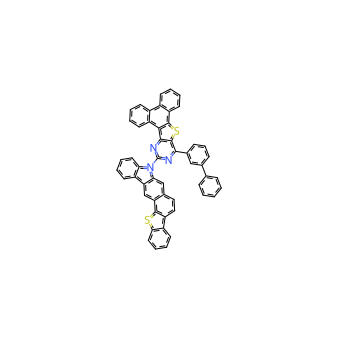 c1ccc(-c2cccc(-c3nc(-n4c5ccccc5c5cc6c(ccc7c8ccccc8sc67)cc54)nc4c3sc3c5ccccc5c5ccccc5c43)c2)cc1